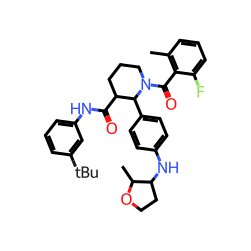 Cc1cccc(F)c1C(=O)N1CCCC(C(=O)Nc2cccc(C(C)(C)C)c2)C1c1ccc(NC2CCOC2C)cc1